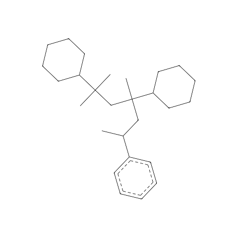 CC(CC(C)(CC(C)(C)C1CCCCC1)C1CCCCC1)c1ccccc1